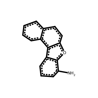 Nc1cccc2c1oc1ccc3ccccc3c12